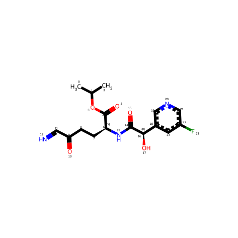 CC(C)OC(=O)[C@H](CCC(=O)C=N)NC(=O)[C@H](O)c1cncc(F)c1